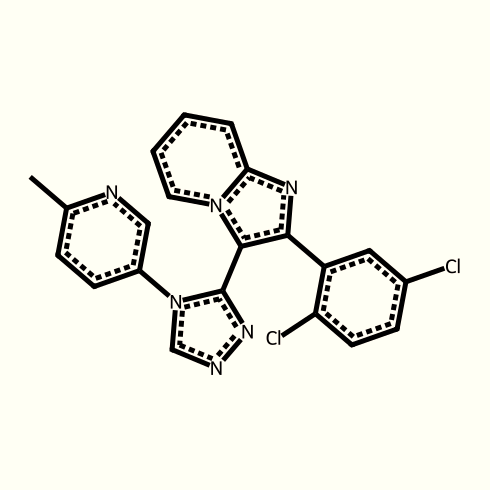 Cc1ccc(-n2cnnc2-c2c(-c3cc(Cl)ccc3Cl)nc3ccccn23)cn1